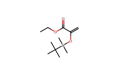 C=C(O[Si](C)(C)C(C)(C)C)C(=O)OCC